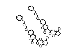 O=C(ON1C(=O)CCC1=O)c1cc2ccc(OCOCc3ccccc3)cc2oc1=O.O=C(ON1C(=O)CCC1=O)c1cc2ccc(OCOCc3ccccc3)cc2oc1=O